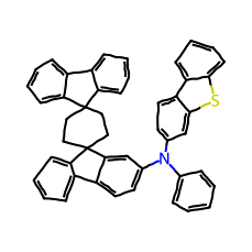 c1ccc(N(c2ccc3c(c2)C2(CCC4(CC2)c2ccccc2-c2ccccc24)c2ccccc2-3)c2ccc3c(c2)sc2ccccc23)cc1